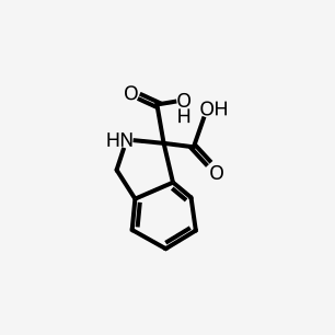 O=C(O)C1(C(=O)O)NCc2ccccc21